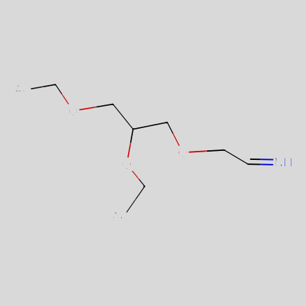 CC(=O)COCC(COCC=N)OCC(C)=O